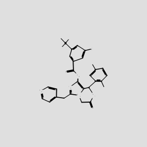 O=C1Cn2c(Cc3ccncc3)nc(NC(=O)c3cc(F)cc(C(F)(F)F)c3)c2C(c2cc(F)ccc2Cl)N1